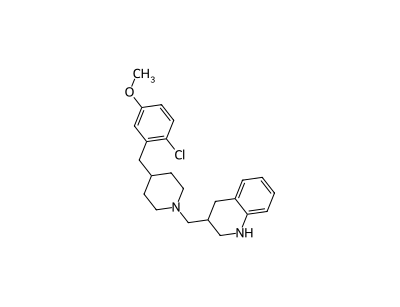 COc1ccc(Cl)c(CC2CCN(CC3CNc4ccccc4C3)CC2)c1